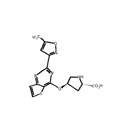 Cc1cc(-c2nc(O[C@H]3CN[C@H](C(=O)O)C3)c3sccc3n2)no1